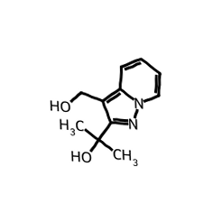 CC(C)(O)c1nn2ccccc2c1CO